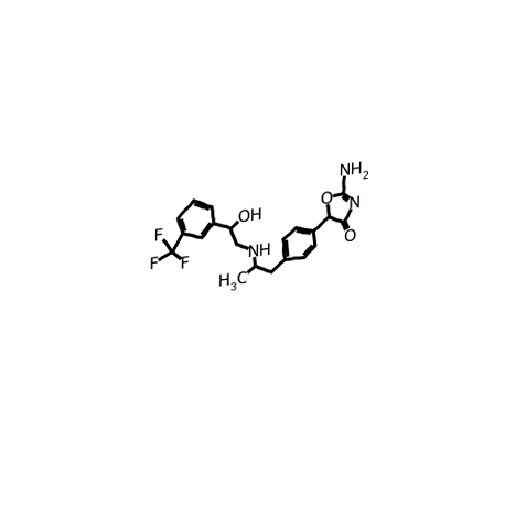 CC(Cc1ccc(C2OC(N)=NC2=O)cc1)NCC(O)c1cccc(C(F)(F)F)c1